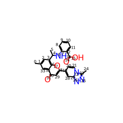 Cc1cc(C(C)Nc2ccccc2C(=O)O)c2oc(-c3ccn4c(C)nnc4c3)cc(=O)c2c1